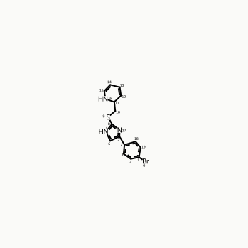 Brc1ccc(-c2c[nH]c(SC[C]3C=CC=CN3)n2)cc1